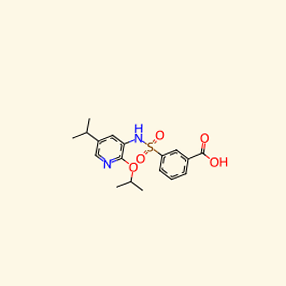 CC(C)Oc1ncc(C(C)C)cc1NS(=O)(=O)c1cccc(C(=O)O)c1